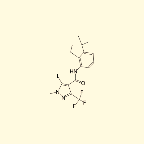 Cn1nc(C(F)(F)F)c(C(=O)Nc2cccc3c2CCC3(C)C)c1I